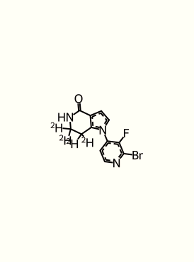 [2H]C1([2H])NC(=O)c2ccn(-c3ccnc(Br)c3F)c2C1([2H])[2H]